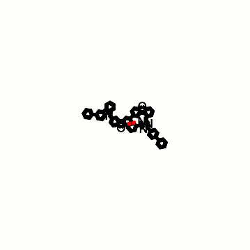 c1ccc(-c2ccc(-c3nc(-c4ccccc4)nc(-c4cccc5oc6ccc(-c7ccc8oc9ccc(-n%10c%11ccccc%11c%11cc(-c%12ccccc%12)ccc%11%10)cc9c8c7)cc6c45)n3)cc2)cc1